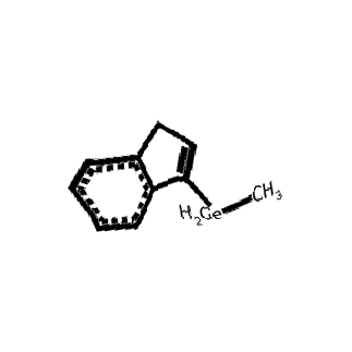 [CH3][GeH2][C]1=C[CH]c2ccccc21